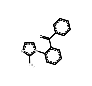 Cc1nccn1-c1ccccc1C(=O)c1ccccc1